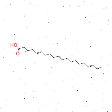 CCC=CCCCCCC=CCCCC=CCCCC(=O)O